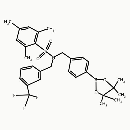 Cc1cc(C)c(S(=O)(=O)N(Cc2ccc(B3OC(C)(C)C(C)(C)O3)cc2)Cc2cccc(C(F)(F)F)c2)c(C)c1